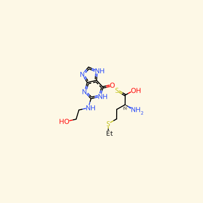 CCSCC[C@H](N)C(O)=S.O=c1[nH]c(NCCO)nc2nc[nH]c12